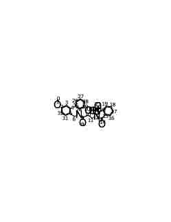 COc1ccc(CN(C(=O)CCN2C(=O)c3ccccc3S2(=O)=O)c2ccccc2O)cc1